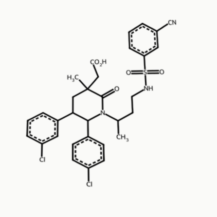 CC(CCNS(=O)(=O)c1cccc(C#N)c1)N1C(=O)C(C)(CC(=O)O)CC(c2cccc(Cl)c2)C1c1ccc(Cl)cc1